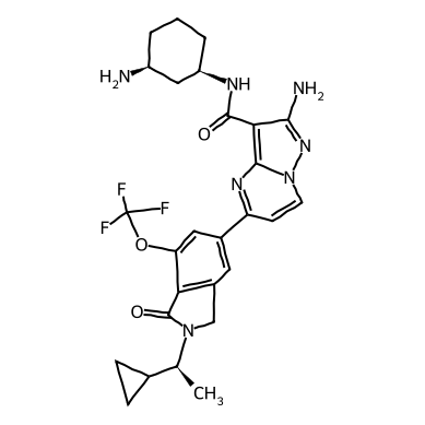 C[C@@H](C1CC1)N1Cc2cc(-c3ccn4nc(N)c(C(=O)N[C@@H]5CCC[C@H](N)C5)c4n3)cc(OC(F)(F)F)c2C1=O